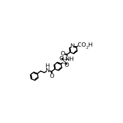 O=C(NCCc1ccccc1)c1ccc(S(=O)(=O)NC(=O)c2ccc(C(=O)O)nc2)cc1